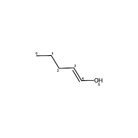 CCCC=CO